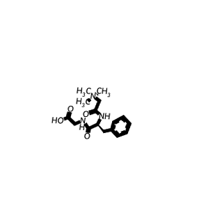 C[N+](C)(C)CC(=O)N[C@@H](Cc1ccccc1)C(=O)NCC(=O)O